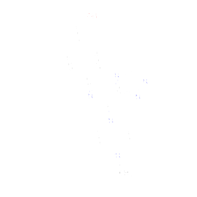 CN1CCN(c2nc3ccc(CO)cc3n3cnnc23)CC1